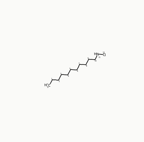 CCCCCCCCCCCNCl